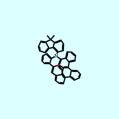 CC1(C)c2ccccc2-c2c(N(c3ccccc3-c3ccc4ccccc4c3)c3cc4ccc5ccccc5c4c4ccccc34)cccc21